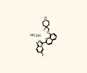 Cl.Cl.Fc1ccc2nnc(-c3ccc4cccc(OCC5(F)CCNCC5)c4n3)n2c1